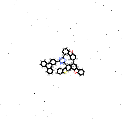 c1ccc2c(c1)oc1ccc(-c3ccc4oc5cccc(-c6nc(-c7ccc8c9ccccc9c9ccccc9c8c7)nc(-c7cccc8sc9ccccc9c78)n6)c5c4c3)cc12